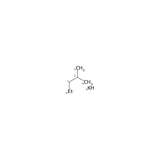 C[CH]CC(C)C.[KH]